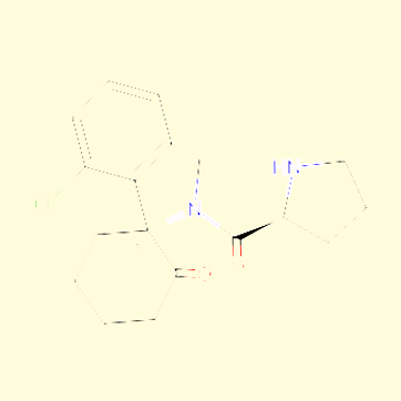 CN(C(=O)[C@@H]1CCCN1)[C@@]1(c2ccccc2Cl)CCCCC1=O